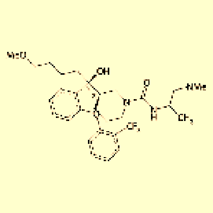 CNCC(C)NC(=O)N1CCC[C@@H]([C@@](O)(CCCCOC)c2ccccc2Oc2ccccc2C(F)(F)F)C1